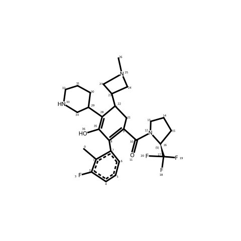 Cc1c(F)cccc1C1=C(C(=O)N2CCC[C@H]2C(F)(F)F)C[C](C2CN(C)C2)C(C2CCCNC2)=C1O